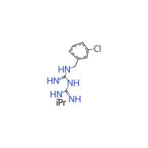 CC(C)NC(=N)NC(=N)NCc1cccc(Cl)c1